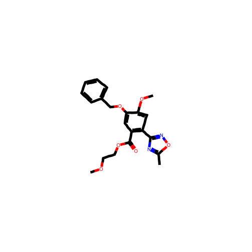 COCCOC(=O)c1cc(OCc2ccccc2)c(OC)cc1-c1noc(C)n1